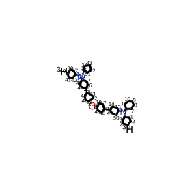 [3H]c1ccc(N(c2ccccc2)c2ccc(-c3ccc(Oc4ccc(-c5ccc(N(c6ccccc6)c6ccc([3H])cc6)cc5)cc4)cc3)cc2)cc1